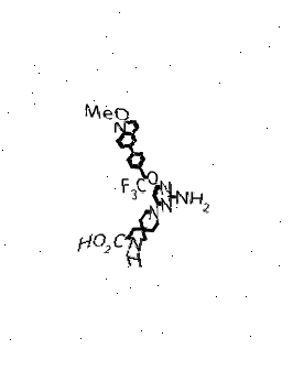 COc1ccc2cc(-c3ccc([C@@H](Oc4cc(N5CCC6(CC5)CNC(C(=O)O)C6)nc(N)n4)C(F)(F)F)cc3)ccc2n1